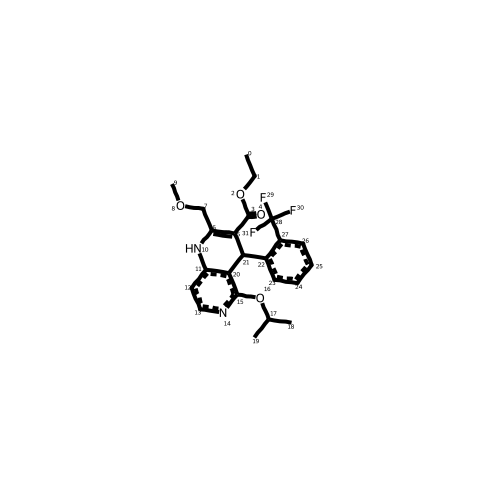 CCOC(=O)C1=C(COC)Nc2ccnc(OC(C)C)c2C1c1ccccc1C(F)(F)F